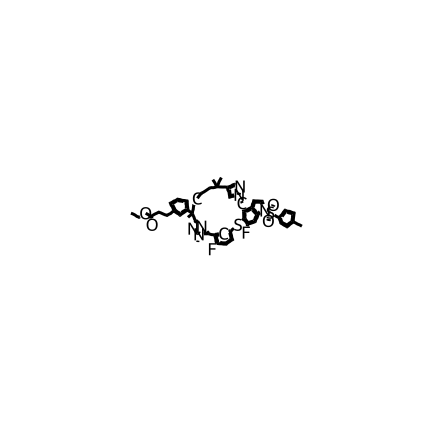 CCOC(=O)CCc1cccc(C2(C)CCCCC(C)(C)c3cnn(c3)Cc3c(c(F)cc4c3ccn4S(=O)(=O)c3ccc(C)cc3)Sc3ccc(F)c(c3)-c3nc2nn3C)c1